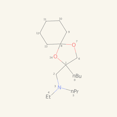 CCCCC1(CN(CC)CCC)COC2(CCCCC2)O1